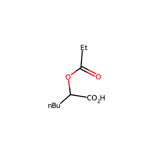 CCCCC(OC(=O)CC)C(=O)O